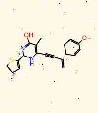 C=C(C#CC1=C(C)C(O)=N[C@H](C2=C[C@H](C)CS2)N1)[C@H]1C=CC(OC)=CC1